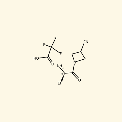 CC[C@@H](N)C(=O)N1CC(C#N)C1.O=C(O)C(F)(F)F